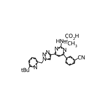 C[C@H](Nc1nc(-c2cccc(C#N)c2)cc(-c2cn(Cc3cccc(C(C)(C)C)n3)nn2)n1)C(=O)O